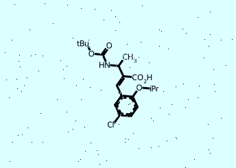 CC(C)Oc1ccc(Cl)cc1/C=C(\C(=O)O)C(C)NC(=O)OC(C)(C)C